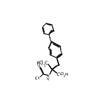 CCC(=O)NC(Cc1ccc(-c2ccccc2)cc1)(C(=O)O)C(=O)O